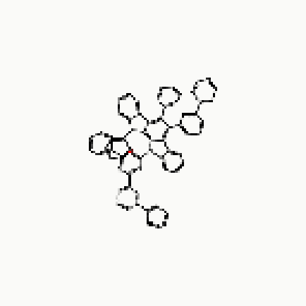 c1ccc(-c2cccc(-c3nc(-c4ccccc4)nc(-n4c5ccccc5c5c(-c6cccc(-c7ccccc7)c6)c(-c6ccccc6)c6c7ccccc7n(-c7ccccc7)c6c54)n3)c2)cc1